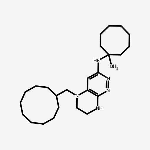 BC1(Bc2cc3c(nn2)NCCN3CC2CCCCCCCCC2)CCCCCCC1